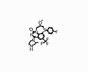 COC1Cn2c(=O)nc(N3CCNCC3C)c3cc(C(F)(F)F)cc(c32)[SH](c2ccc(F)cc2)C1